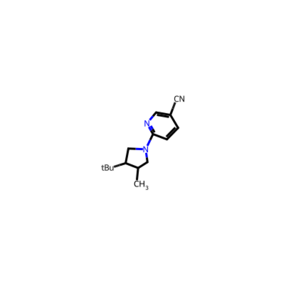 CC1CN(c2ccc(C#N)cn2)CC1C(C)(C)C